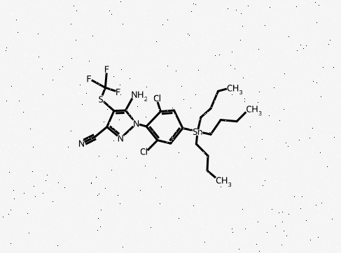 CCC[CH2][Sn]([CH2]CCC)([CH2]CCC)[c]1cc(Cl)c(-n2nc(C#N)c(SC(F)(F)F)c2N)c(Cl)c1